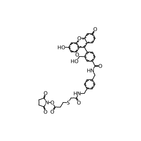 O=C(CSCCC(=O)ON1C(=O)CCC1=O)NCc1ccc(CNC(=O)c2ccc(-c3c4ccc(=O)cc-4oc4cc(O)ccc34)c(C(=O)O)c2)cc1